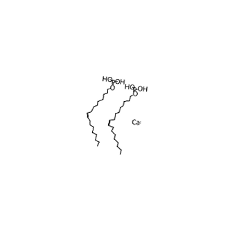 CCCCCCCC/C=C\CCCCCCCCOP(O)O.CCCCCCCC/C=C\CCCCCCCCOP(O)O.[Ca]